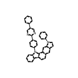 c1ccc(-c2cnc(-c3ccc(-n4c5ccccc5c5ccc6cc7ccn(-c8ccccc8)c7cc6c54)cc3)nc2)cc1